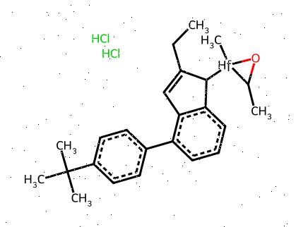 CCC1=Cc2c(-c3ccc(C(C)(C)C)cc3)cccc2[CH]1[Hf]1([CH3])[O][CH]1C.Cl.Cl